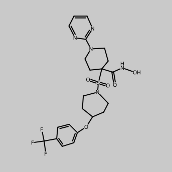 O=C(NO)C1(S(=O)(=O)N2CCC(Oc3ccc(C(F)(F)F)cc3)CC2)CCN(c2ncccn2)CC1